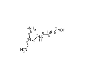 NCCN(CCN)CCNCCNCCO